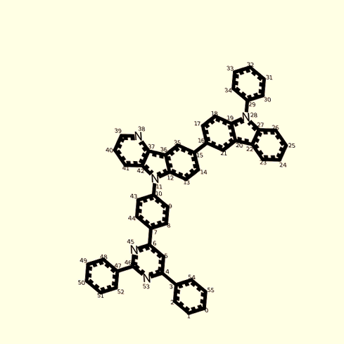 c1ccc(-c2cc(-c3ccc(-n4c5ccc(-c6ccc7c(c6)c6ccccc6n7-c6ccccc6)cc5c5ncccc54)cc3)nc(-c3ccccc3)n2)cc1